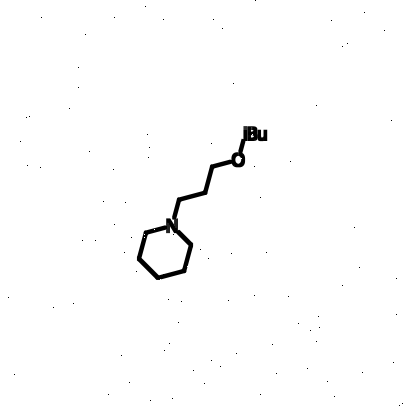 CCC(C)OCCCN1CCCCC1